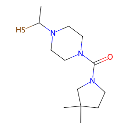 CC(S)N1CCN(C(=O)N2CCC(C)(C)C2)CC1